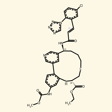 CCOC(=O)[C@H]1CCCCC[C@H](NC(=O)/C=C/c2cc(Cl)ccc2-n2cnnn2)c2cncc(c2)-c2ccc(NC(=O)OC)cc2N1